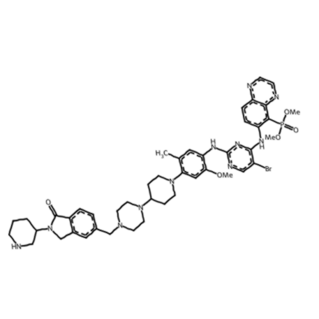 COc1cc(N2CCC(N3CCN(Cc4ccc5c(c4)CN(C4CCCNC4)C5=O)CC3)CC2)c(C)cc1Nc1ncc(Br)c(Nc2ccc3nccnc3c2P(=O)(OC)OC)n1